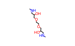 CNCC(O)COCCOCC(O)CNC